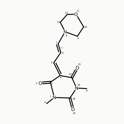 CN1C(=O)C(=C/C=C/N2CCOCC2)C(=O)N(C)C1=O